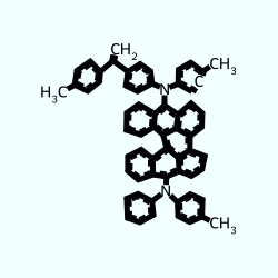 C=C(c1ccc(C)cc1)c1ccc(N(c2ccc(C)cc2)c2c3ccccc3c3c4c2cccc4c2cccc4c(N(c5ccccc5)c5ccc(C)cc5)c5ccccc5c3c42)cc1